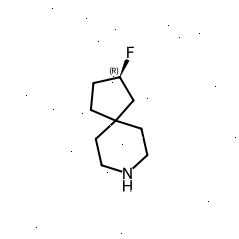 F[C@@H]1CCC2(CCNCC2)C1